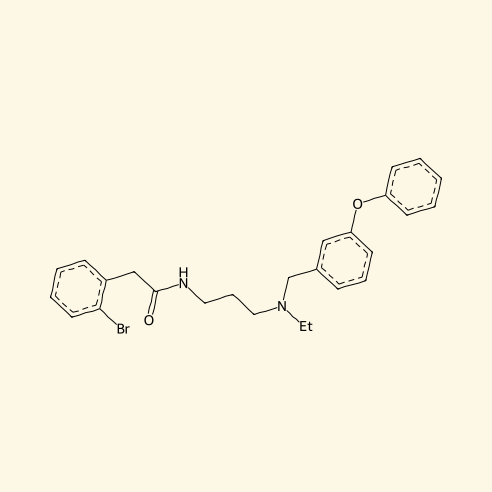 CCN(CCCNC(=O)Cc1ccccc1Br)Cc1cccc(Oc2ccccc2)c1